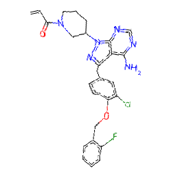 C=CC(=O)N1CCCC(n2nc(-c3ccc(OCc4ccccc4F)c(Cl)c3)c3c(N)ncnc32)C1